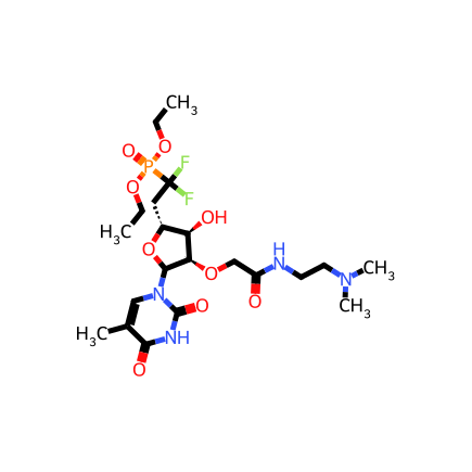 CCOP(=O)(OCC)C(F)(F)C[C@H]1OC(n2cc(C)c(=O)[nH]c2=O)[C@H](OCC(=O)NCCN(C)C)[C@@H]1O